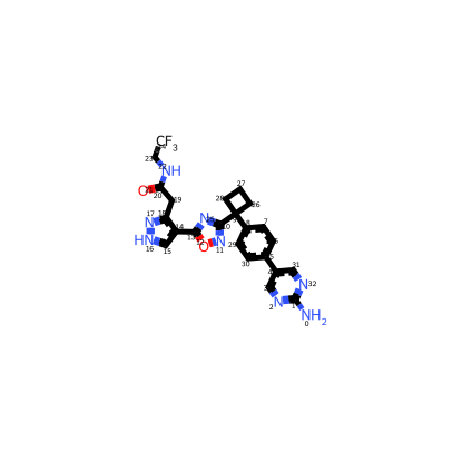 Nc1ncc(-c2ccc(C3(c4noc(-c5c[nH]nc5CC(=O)NCC(F)(F)F)n4)CCC3)cc2)cn1